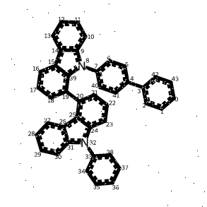 c1ccc(-c2ccc(-n3c4ccccc4c4cccc(-c5cccc6c5c5ccccc5n6-c5ccccc5)c43)cc2)cc1